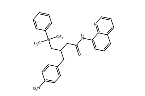 C[Si](C)(CC(CC(=O)Nc1cccc2cccnc12)Cc1ccc([N+](=O)[O-])cc1)c1ccccc1